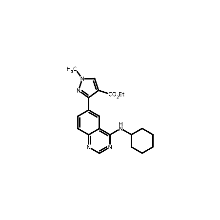 CCOC(=O)c1cn(C)nc1-c1ccc2ncnc(NC3CCCCC3)c2c1